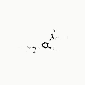 COC(=O)c1cc(OC[C@@H](COS(=O)(=O)O)OS(=O)(=O)O)ccc1OC[C@@H](COS(=O)(=O)O)OS(=O)(=O)O